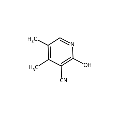 Cc1cnc(O)c(C#N)c1C